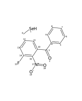 C[SeH].O=C(c1ccccc1)c1cccc(F)c1[N+](=O)[O-]